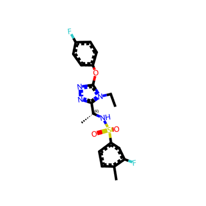 CCn1c(Oc2ccc(F)cc2)nnc1[C@@H](C)NS(=O)(=O)c1ccc(C)c(F)c1